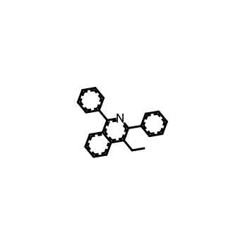 CCc1c(-c2ccccc2)nc(-c2ccccc2)c2ccccc12